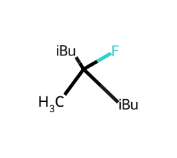 CCC(C)C(C)(F)C(C)CC